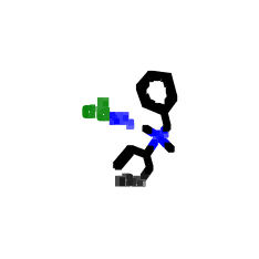 C=CC(CCCCCCCCCCC)[N+](C)(C)Cc1ccccc1.Cl.N.[Cl-]